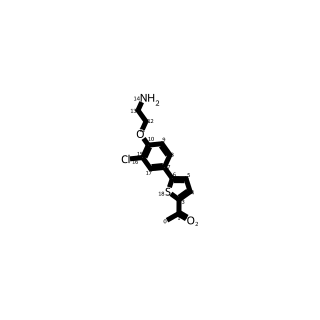 CC(=O)c1ccc(-c2ccc(OCCN)c(Cl)c2)s1